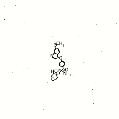 COc1ccc2c(Oc3ccc(S(N)(=O)=NCC4(O)CCOCC4)cc3)ccnc2c1